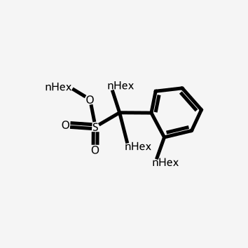 CCCCCCOS(=O)(=O)C(CCCCCC)(CCCCCC)c1ccccc1CCCCCC